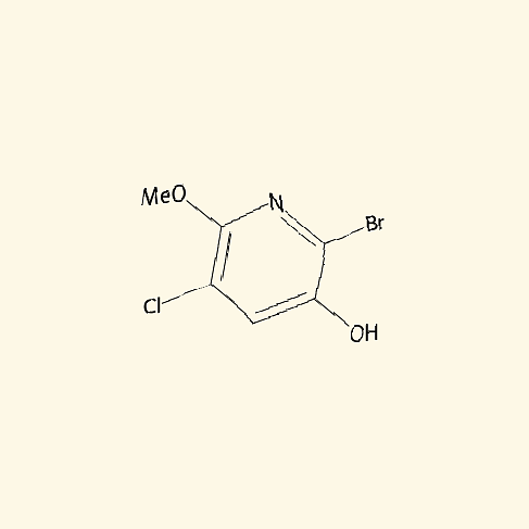 COc1nc(Br)c(O)cc1Cl